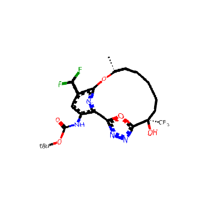 C[C@@H]1CCCCC[C@](O)(C(F)(F)F)c2nnc(o2)-c2nc(c(C(F)F)cc2NC(=O)OC(C)(C)C)O1